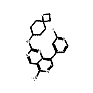 Nc1ncc(-c2ccnc(F)c2)c2nc(NC3CCC4(CCO4)CC3)ncc12